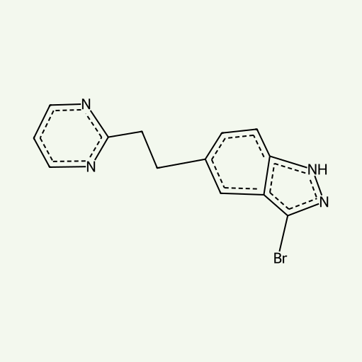 Brc1n[nH]c2ccc(CCc3ncccn3)cc12